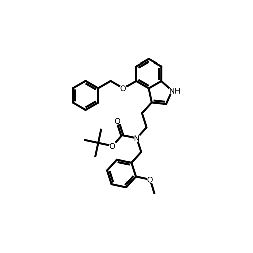 COc1ccccc1CN(CCc1c[nH]c2cccc(OCc3ccccc3)c12)C(=O)OC(C)(C)C